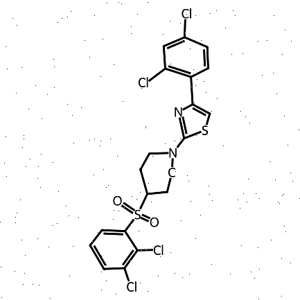 O=S(=O)(c1cccc(Cl)c1Cl)C1CCN(c2nc(-c3ccc(Cl)cc3Cl)cs2)CC1